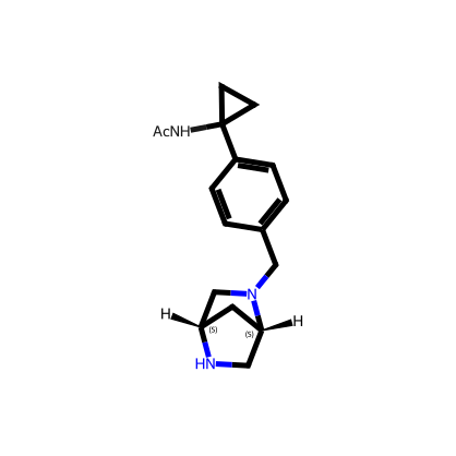 CC(=O)NC1(c2ccc(CN3C[C@@H]4C[C@H]3CN4)cc2)CC1